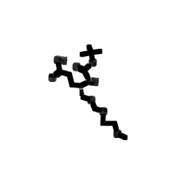 COCCOCOC[C@H](CCC(=O)O)NC(=O)OC(C)(C)C